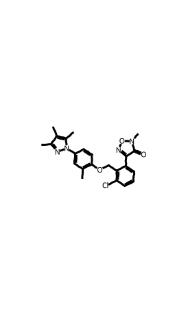 Cc1cc(-n2nc(C)c(C)c2C)ccc1OCc1c(Cl)cccc1-c1non(C)c1=O